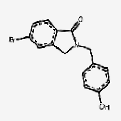 O=C1c2ccc(Br)cc2CN1Cc1ccc(O)cc1